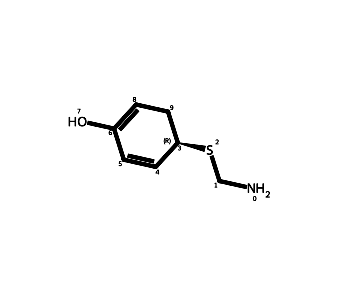 NCS[C@H]1C=CC(O)=CC1